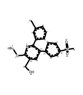 CCCCOc1nc(-c2cccc(C)c2)c(-c2ccc(S(C)(=O)=O)cc2)cc1CO